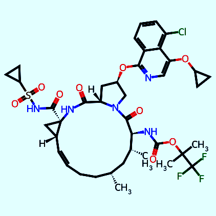 C[C@@H]1CC/C=C\[C@@H]2C[C@@]2(C(=O)NS(=O)(=O)C2CC2)NC(=O)[C@@H]2C[C@@H](Oc3ncc(OC4CC4)c4c(Cl)cccc34)CN2C(=O)[C@@H](NC(=O)OC(C)(C)C(F)(F)F)[C@H](C)C1